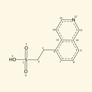 O=S(=O)(O)CCc1cccc2cnccc12